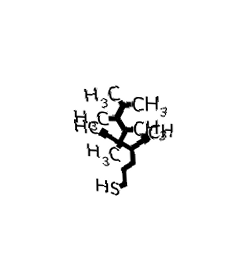 C#CC(CCCS)C(C)(C#C)C(C)C(C)C(C)C